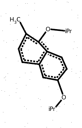 Cc1ccc2cc(OC(C)C)ccc2c1OC(C)C